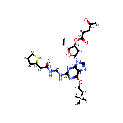 CC[C@H]1O[C@@H](n2cnc3c(OCC[Si](C)(C)C)nc(NCNC(=O)CC4CCCS4)nc32)CC1OC(=O)CCC(C)=O